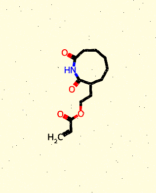 C=CC(=O)OCCC1CCCCCC(=O)NC1=O